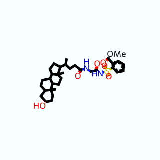 COC(=O)c1ccccc1S(=O)(=O)NC(=O)CNC(=O)CCC(C)C1CCC2C3CCC4CC(O)CCC4(C)C3CCC12C